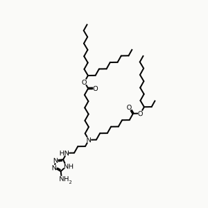 CCCCCCCCC(CC)OC(=O)CCCCCCCN(CCCCCCCC(=O)OC(CCCCCCCC)CCCCCCCC)CCCNc1nnc(N)[nH]1